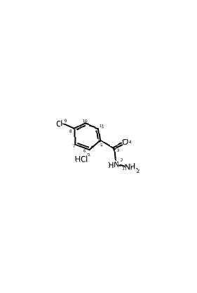 Cl.NNC(=O)c1ccc(Cl)cc1